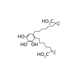 O=C(O)C1(CCCCCCc2cc(O)c(O)c(O)c2CCCCCC2(C(=O)O)CC2)CC1